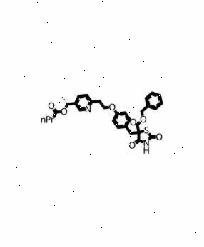 CCCC(=O)O[C@H](C)c1ccc(CCOc2ccc(CC3(C(=O)OCc4ccccc4)SC(=O)NC3=O)cc2)nc1